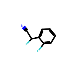 N#CC(F)c1ccccc1F